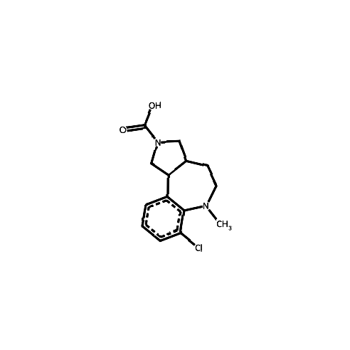 CN1CCC2CN(C(=O)O)CC2c2cccc(Cl)c21